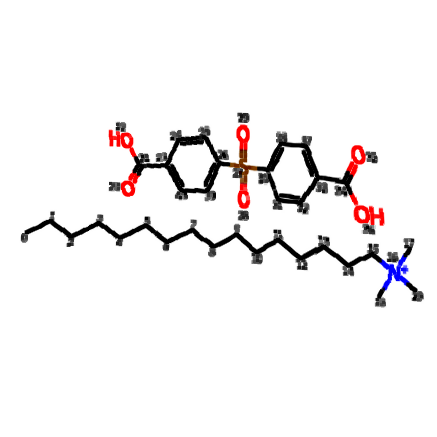 CCCCCCCCCCCCCCCC[N+](C)(C)C.O=C(O)c1ccc(S(=O)(=O)c2ccc(C(=O)O)cc2)cc1